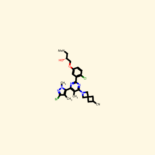 CNC[C@@H](O)COc1ccc(Cl)c(-c2nc(-c3c(C)c(Br)nn3C)c(C)c(N3CC4(CC(C#N)C4)C3)n2)c1